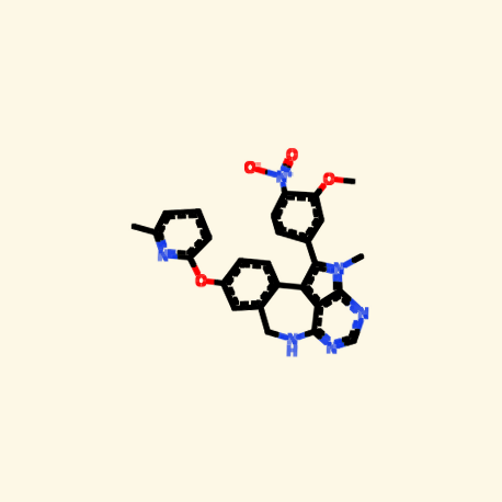 COc1cc(-c2c3c4c(ncnc4n2C)NCc2cc(Oc4cccc(C)n4)ccc2-3)ccc1[N+](=O)[O-]